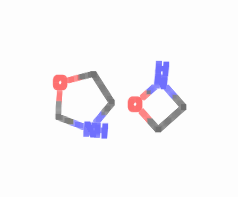 C1COCN1.C1CON1